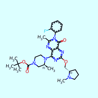 Cc1nc2c(N3CCN(C(=O)OC(C)(C)C)C[C@@H]3C)nc(OC[C@@H]3CCCN3C)nc2c(=O)n1-c1ccccc1F